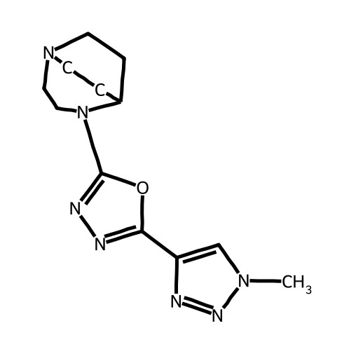 Cn1cc(-c2nnc(N3CCN4CCC3CC4)o2)nn1